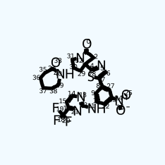 O=C1CC2(c3ncc(-c4cc(Nc5nccc(C(F)(F)F)n5)cc([N+](=O)[O-])c4)s3)CCCN12.O=C1CCCCCN1